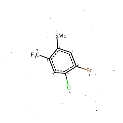 CSc1cc(Br)c(Cl)cc1C(F)(F)F